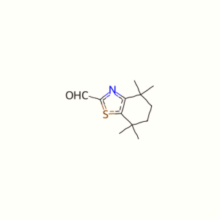 CC1(C)CCC(C)(C)c2sc(C=O)nc21